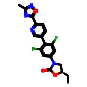 CC[C@H]1CN(c2cc(F)c(-c3ccc(-c4nc(C)no4)nc3)c(F)c2)C(=O)O1